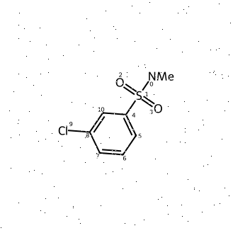 [CH2-][NH2+]S(=O)(=O)c1cccc(Cl)c1